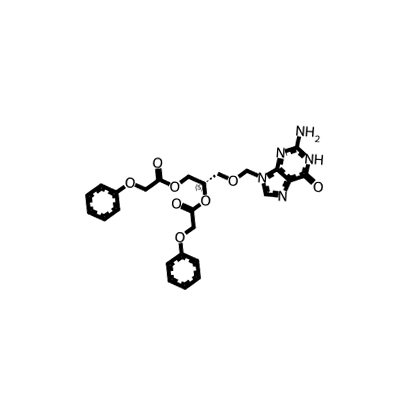 Nc1nc2c(ncn2COC[C@@H](COC(=O)COc2ccccc2)OC(=O)COc2ccccc2)c(=O)[nH]1